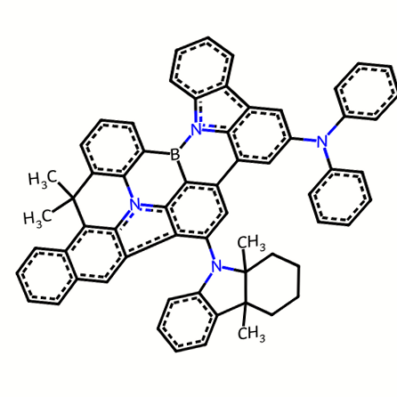 CC1(C)c2cccc3c2-n2c4c1c1ccccc1cc4c1c(N4c5ccccc5C5(C)CCCCC45C)cc4c(c12)B3n1c2ccccc2c2cc(N(c3ccccc3)c3ccccc3)cc-4c21